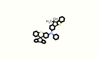 CC1(C)c2ccc(N(c3ccccc3)c3ccc4c(c3)Sc3ccccc3C43c4ccccc4-c4ccccc43)cc2-c2sc3ccccc3c21